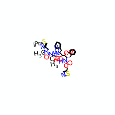 CC(C)c1nc(CN(C)C(=O)N[C@@H](C)C(=O)N[C@@H](Cc2ccccc2)[C@H](O)[C@@H](O)[C@H](Cc2ccccc2)NC(=O)OCc2cncs2)cs1